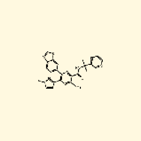 Cn1ccc(-c2nc(N)c(C(=O)NC(C)(C)c3cnccn3)nc2-c2ccc3ncsc3c2)n1